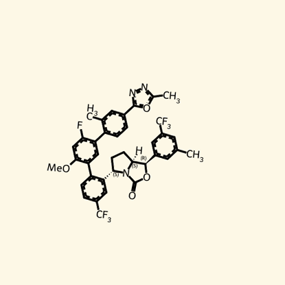 COc1cc(F)c(-c2ccc(-c3nnc(C)o3)cc2C)cc1-c1ccc(C(F)(F)F)cc1[C@@H]1CC[C@H]2[C@@H](c3cc(C)cc(C(F)(F)F)c3)OC(=O)N12